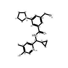 Cc1cc(C(NC(=O)c2cc(CBr)cc(N3CCCC3)c2)C2CC2)ncc1F